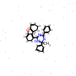 CC1(c2ccccc2)N=C(c2ccccc2)N=C(C2=c3c4c(oc3=CCC2)C=CCC4)N1